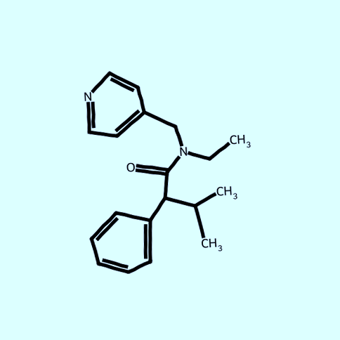 CCN(Cc1ccncc1)C(=O)C(c1ccccc1)C(C)C